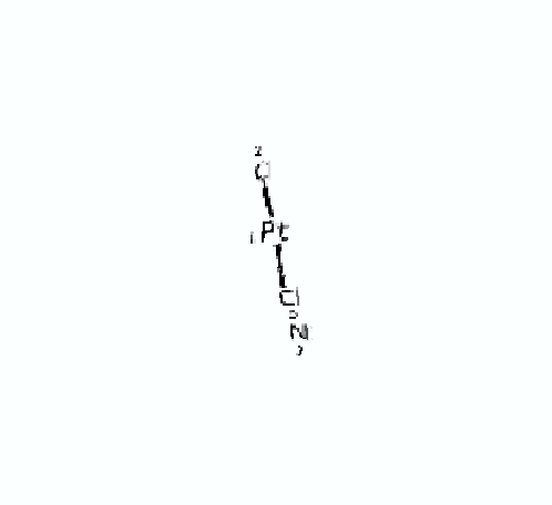 [Cl][Pt][Cl].[N]